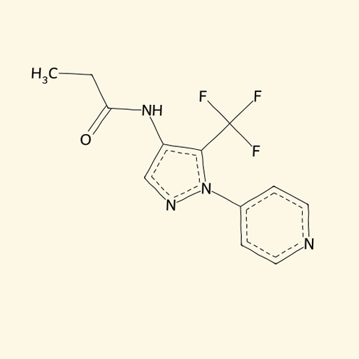 CCC(=O)Nc1cnn(-c2ccncc2)c1C(F)(F)F